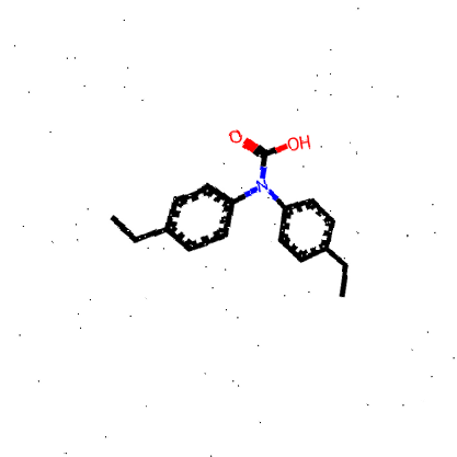 CCc1ccc(N(C(=O)O)c2ccc(CC)cc2)cc1